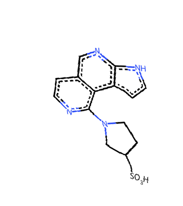 O=S(=O)(O)C1CCN(c2nccc3cnc4[nH]ccc4c23)C1